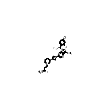 Cc1nn([C@H](C)c2ccc(Cl)cc2Cl)c2nc(N3CC([C@@H]4CCCN(CCC(N)=O)C4)C3)cnc12